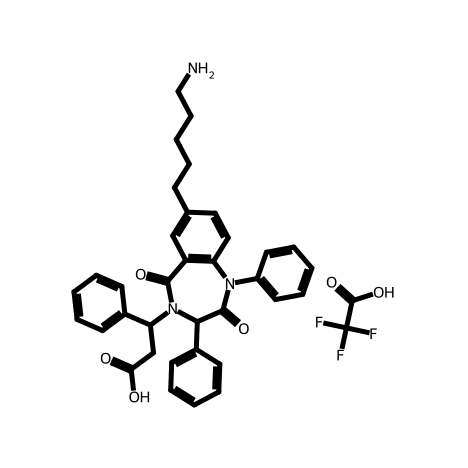 NCCCCCc1ccc2c(c1)C(=O)N(C(CC(=O)O)c1ccccc1)C(c1ccccc1)C(=O)N2c1ccccc1.O=C(O)C(F)(F)F